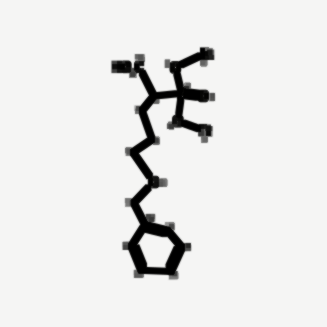 CCOP(=O)(OCC)C(CCCOCc1ccccc1)C(=O)O